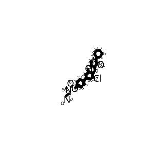 CN(C)CCN(C)C(=O)Oc1ccc(-c2cc(Cl)c(CC3CCN(C4CCCCC4)C3=O)c(Cl)c2)cc1